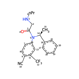 CCCNCC(=O)N(c1ccc(C#N)c(C(F)(F)F)c1)[C@@H](C)c1ccccc1